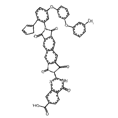 Cc1cccc(Oc2cccc(Oc3ccc(C4=CC=CC4)c(N4C(=O)c5cc6cc7c(cc6cc5C4=O)C(=O)C(c4nc5cc(C(=O)O)ccc5c(=O)[nH]4)C7=O)c3)c2)c1